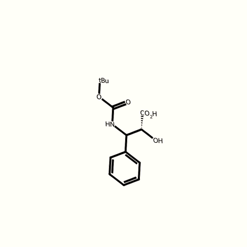 CC(C)(C)OC(=O)NC(c1ccccc1)[C@@H](O)C(=O)O